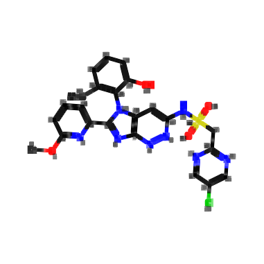 CCOC1=NC(c2nc3nnc(NS(=O)(=O)Cc4ncc(Cl)cn4)cc3n2-c2c(O)cccc2OC)=C=C=C1